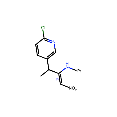 CC(C)N/C(=C\[N+](=O)[O-])C(C)c1ccc(Cl)nc1